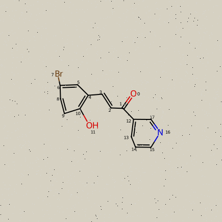 O=C(/C=C/c1cc(Br)ccc1O)c1cccnc1